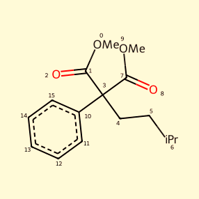 COC(=O)C(CCC(C)C)(C(=O)OC)c1ccccc1